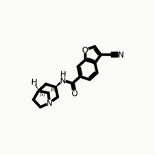 N#Cc1coc2cc(C(=O)N[C@@H]3C[C@@H]4CCN(C4)C3)ccc12